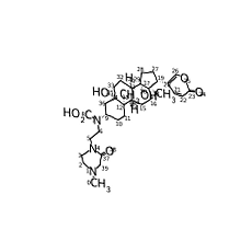 CN1CCN(CCN(C(=O)O)[C@H]2CC[C@]3(C)[C@H]4CC[C@]5(C)[C@@H](c6ccc(=O)oc6)CC[C@]5(O)[C@@H]4CC[C@]3(O)C2)C(=O)C1